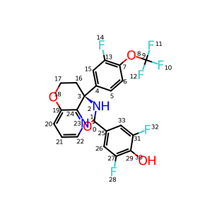 O=C(N[C@]1(c2ccc(OC(F)(F)F)c(F)c2)CCOc2cccnc21)c1cc(F)c(O)c(F)c1